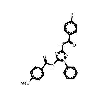 COc1ccc(C(=O)Nc2nc(NC(=O)c3ccc(F)cc3)nn2-c2ccccc2)cc1